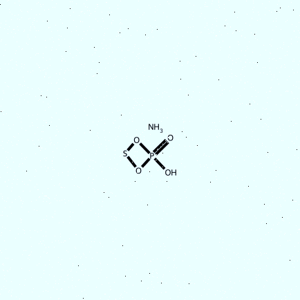 N.O=P1(O)OSO1